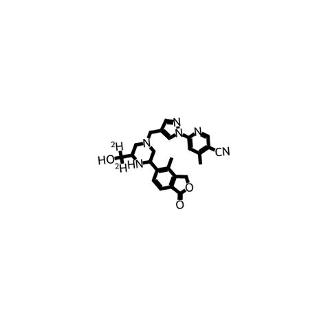 [2H]C([2H])(O)C1CN(Cc2cnn(-c3cc(C)c(C#N)cn3)c2)CC(c2ccc3c(c2C)COC3=O)N1